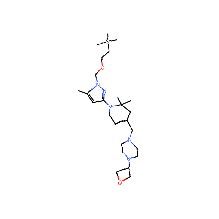 Cc1cc(N2CCC(CN3CCN(C4COC4)CC3)CC2(C)C)nn1COCC[Si](C)(C)C